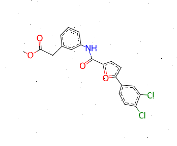 COC(=O)Cc1cccc(NC(=O)c2ccc(-c3ccc(Cl)c(Cl)c3)o2)c1